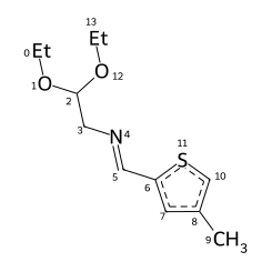 CCOC(CN=Cc1cc(C)cs1)OCC